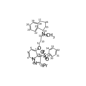 CC(C)c1nn2cccc(OCCCN(C)C3CCCc4ccccc43)c2c1S(=O)(=O)c1ccccc1